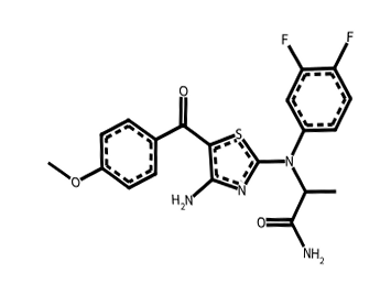 COc1ccc(C(=O)c2sc(N(c3ccc(F)c(F)c3)C(C)C(N)=O)nc2N)cc1